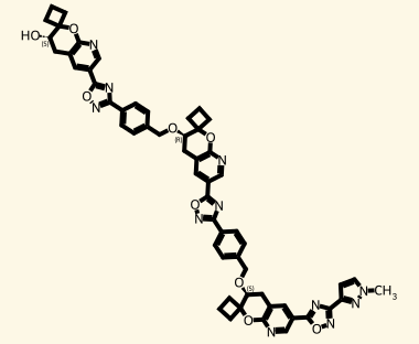 Cn1ccc(-c2noc(-c3cnc4c(c3)C[C@H](OCc3ccc(-c5noc(-c6cnc7c(c6)C[C@@H](OCc6ccc(-c8noc(-c9cnc%10c(c9)C[C@H](O)C9(CCC9)O%10)n8)cc6)C6(CCC6)O7)n5)cc3)C3(CCC3)O4)n2)n1